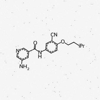 CC(C)CCOc1ccc(NC(=O)c2cncc(N)c2)cc1C#N